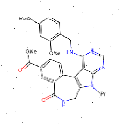 COC(=O)c1ccc2c(c1)C(=O)NCc1c-2c2c(NCc3ccc(OC)cc3OC)ncnc2n1C(C)C